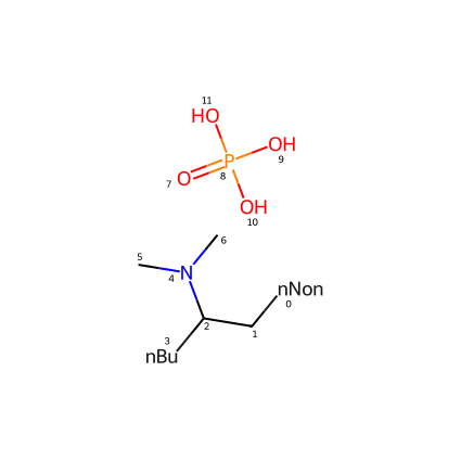 CCCCCCCCCCC(CCCC)N(C)C.O=P(O)(O)O